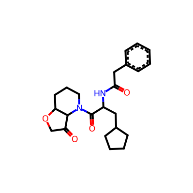 O=C(Cc1ccccc1)NC(CC1CCCC1)C(=O)N1CCCC2OCC(=O)C21